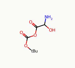 CC(C)(C)OC(=O)OC(=O)C(N)O